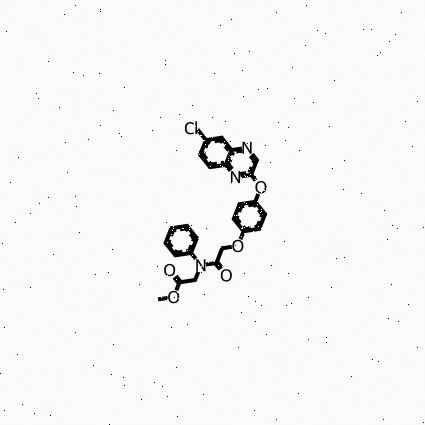 COC(=O)CN(C(=O)COc1ccc(Oc2cnc3cc(Cl)ccc3n2)cc1)c1ccccc1